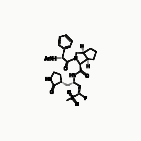 CC(=O)N[C@@H](C(=O)N1C[C@H]2CCC[C@H]2[C@H]1C(=O)N[C@H](/C=C(/F)S(C)(=O)=O)C[C@H]1CCNC1=O)c1ccccc1